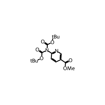 COC(=O)c1ccc(N(C(=O)OC(C)(C)C)C(=O)OC(C)(C)C)nc1